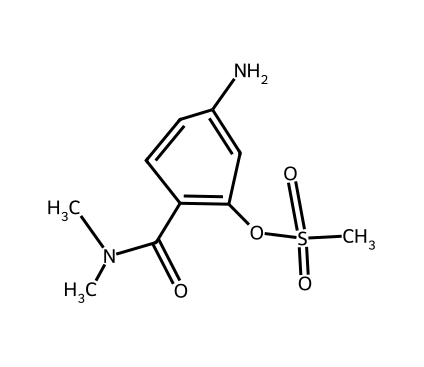 CN(C)C(=O)c1ccc(N)cc1OS(C)(=O)=O